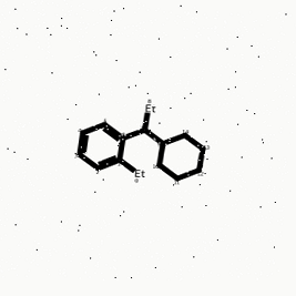 CCc1ccccc1C(CC)C1CCCCC1